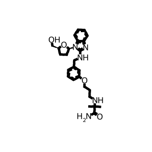 CC(C)(NCCCOc1cccc(CNc2nc3ccccc3n2[C@H]2CC[C@@H](CO)O2)c1)C(N)=O